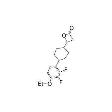 CCOc1ccc(C2CCC(C3CC(=O)O3)CC2)c(F)c1F